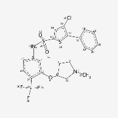 CN1CCC(Oc2cc(NS(=O)(=O)c3cc(Cl)c(-c4ccccc4)s3)ccc2C(F)(F)F)C1